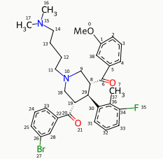 COc1cccc(C(=O)[C@H]2CN(CCCCN(C)C)C[C@@H](C(=O)c3cccc(Br)c3)[C@@H]2c2cccc(F)c2C)c1